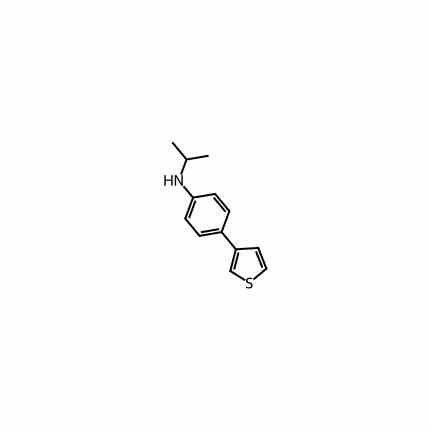 CC(C)Nc1ccc(-c2ccsc2)cc1